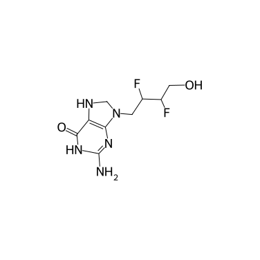 Nc1nc2c(c(=O)[nH]1)NCN2CC(F)C(F)CO